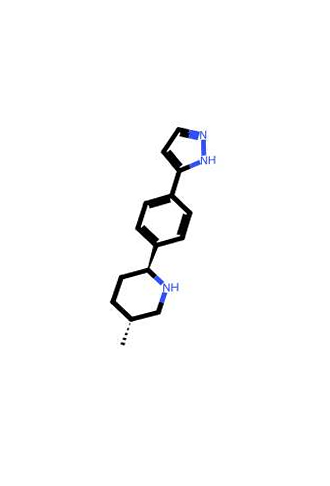 C[C@@H]1CC[C@@H](c2ccc(-c3ccn[nH]3)cc2)NC1